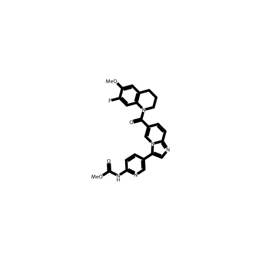 COC(=O)Nc1ccc(-c2cnc3ccc(C(=O)N4CCCc5cc(OC)c(F)cc54)cn23)cn1